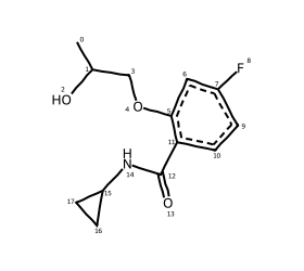 CC(O)COc1cc(F)ccc1C(=O)NC1CC1